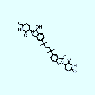 CC(C)(CCC(C)(C)c1ccc2c(c1)C(=O)N(C1CCC(=O)NC1=O)C2)c1ccc2c(c1)CN(C1CCC(=O)NC1=O)C2O